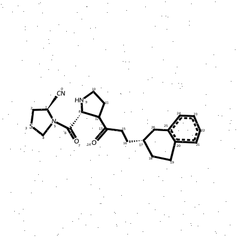 N#C[C@@H]1CSCN1C(=O)[C@@H]1NCCC1C(=O)CC[C@H]1CCc2ccccc2C1